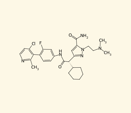 Cc1nccc(Cl)c1-c1ccc(NC(=O)[C@H](c2cc(C(N)=O)n(CCN(C)C)n2)C2CCCCC2)cc1F